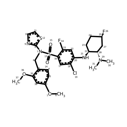 COc1ccc(CN(c2nccs2)S(=O)(=O)c2cc(Cl)c(N[C@H]3CC[C@@H](F)C[C@@H]3N(C)C)cc2F)c(OC)c1